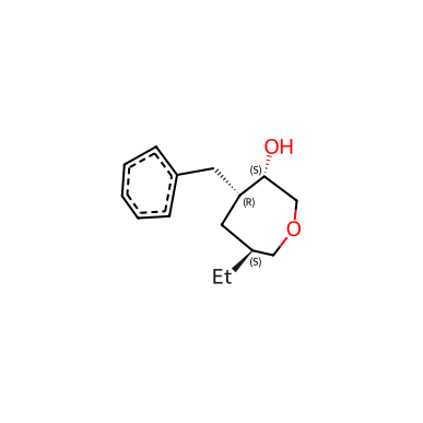 CC[C@@H]1COC[C@@H](O)[C@@H](Cc2ccccc2)C1